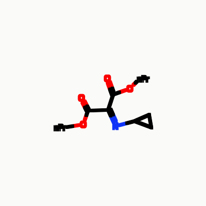 CCCOC(=O)C(=NC1CC1)C(=O)OCCC